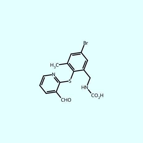 Cc1cc(Br)cc(CNC(=O)O)c1Sc1ncccc1C=O